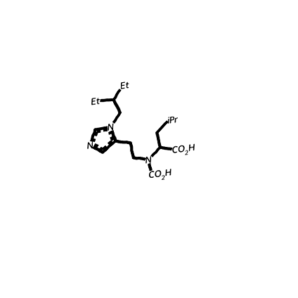 CCC(CC)Cn1cncc1CCN(C(=O)O)C(CC(C)C)C(=O)O